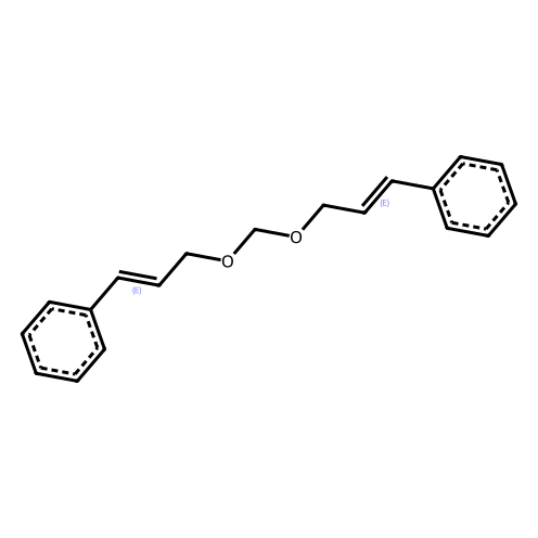 C(=C\c1ccccc1)/COCOC/C=C/c1ccccc1